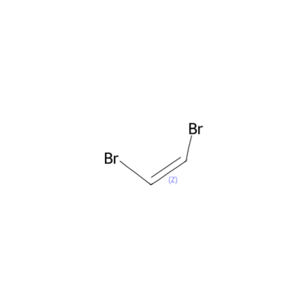 Br/C=C\Br